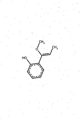 CC=C(OC)c1ccccc1O